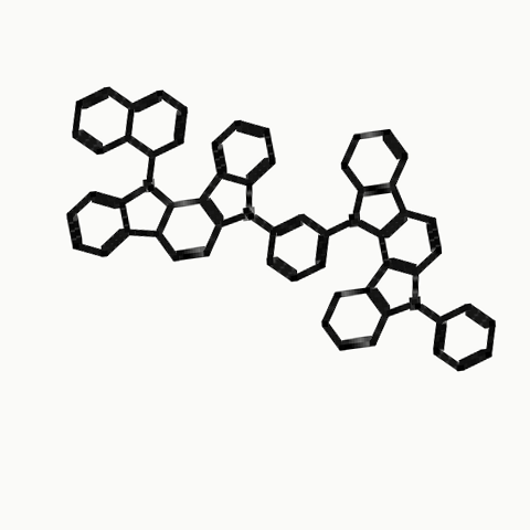 C1=CC2=CC=CC(N3c4ccccc4C4C=Cc5c(c6ccccc6n5-c5cccc(-n6c7c(c8ccc9c(c%10c(n9-c9ccccc9)C=CCC%10)c86)C=CCC7)c5)C43)C2C=C1